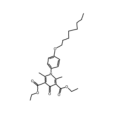 CCCCCCCCOc1ccc(-n2c(C)c(C(=O)OCC)c(=O)c(C(=O)OCC)c2C)cc1